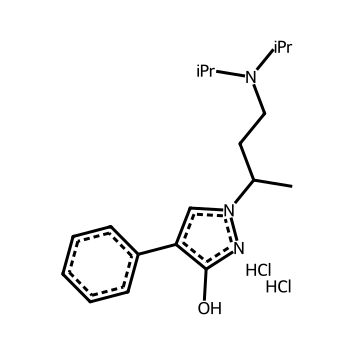 CC(C)N(CCC(C)n1cc(-c2ccccc2)c(O)n1)C(C)C.Cl.Cl